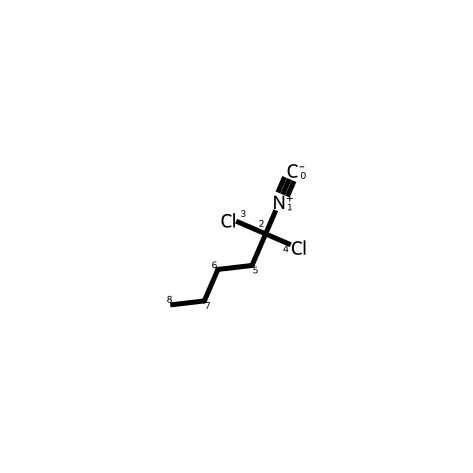 [C-]#[N+]C(Cl)(Cl)CCCC